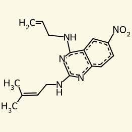 C=CCNc1nc(NCC=C(C)C)nc2ccc([N+](=O)[O-])cc12